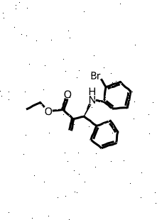 C=C(C(=O)OCC)[C@@H](Nc1ccccc1Br)c1ccccc1